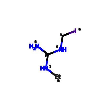 CCNC(N)NCI